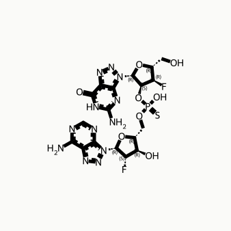 Nc1nc2c(nnn2[C@@H]2O[C@H](CO)[C@@H](F)[C@H]2OP(O)(=S)OC[C@H]2O[C@@H](n3nnc4c(N)ncnc43)[C@@H](F)[C@@H]2O)c(=O)[nH]1